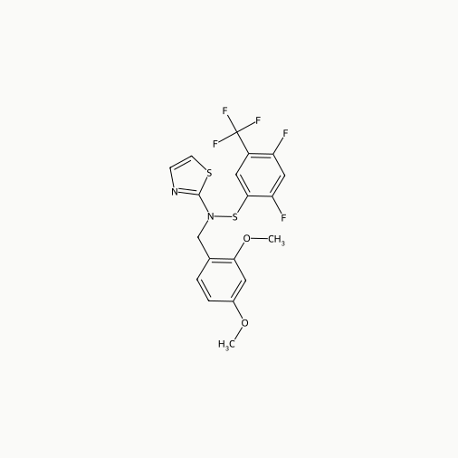 COc1ccc(CN(Sc2cc(C(F)(F)F)c(F)cc2F)c2nccs2)c(OC)c1